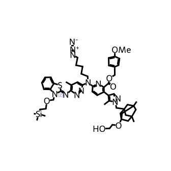 COc1ccc(COC(=O)c2nc(N(CCCCCN=[N+]=[N-])c3cc(C)c(/N=c4\sc5ccccc5n4COCC[Si](C)(C)C)nn3)ccc2-c2cnn(CC34CC5(C)CC(C)(C3)CC(OCCO)(C5)C4)c2C)cc1